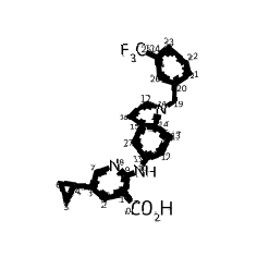 O=C(O)c1cc(C2CC2)cnc1Nc1ccc2c(ccn2Cc2cccc(C(F)(F)F)c2)c1